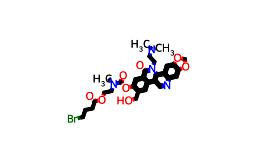 CN(C)CCn1c(=O)c2cc(OC(=O)N(C)CCOC(=O)CCCBr)c(CO)cc2c2cnc3cc4c(cc3c21)OCO4